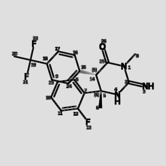 CN1C(=N)N[C@](C)(c2ccccc2F)[C@H](c2ccc(C(C)(F)F)cc2)C1=O